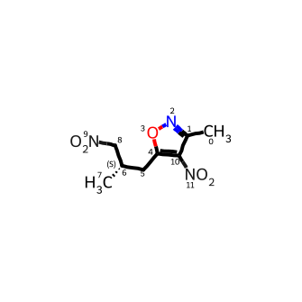 Cc1noc(C[C@H](C)C[N+](=O)[O-])c1[N+](=O)[O-]